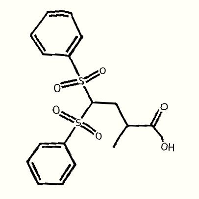 CC(CC(S(=O)(=O)c1ccccc1)S(=O)(=O)c1ccccc1)C(=O)O